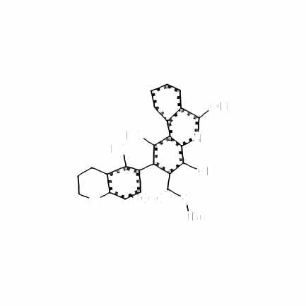 Cc1c(-c2c([C@H](OC(C)(C)C)C(=O)O)c(C)c3nc(O)c4ccccc4c3c2C)ccc2c1CCCO2